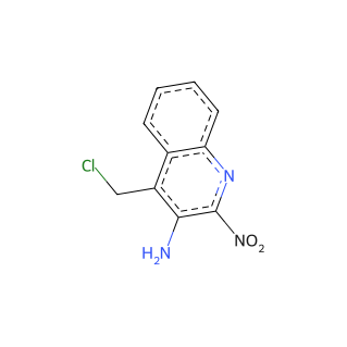 Nc1c([N+](=O)[O-])nc2ccccc2c1CCl